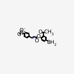 Bc1ccc(OC(=O)/C=C/c2ccc([N+](=O)[O-])cc2)c(C(C)=O)c1